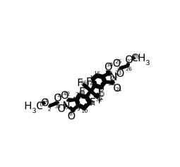 COCC(=O)ON1C(=O)c2ccc(C(c3ccc4c(c3)C(=O)N(OC(=O)COC)C4=O)(C(F)(F)F)C(F)(F)F)cc2C1=O